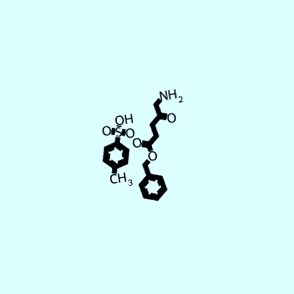 Cc1ccc(S(=O)(=O)O)cc1.NCC(=O)CCC(=O)OCc1ccccc1